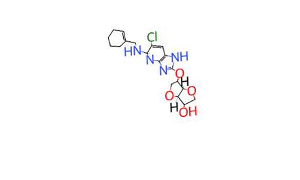 O[C@@H]1CO[C@H]2[C@@H]1OC[C@H]2Oc1nc2nc(NCC3=CCCCC3)c(Cl)cc2[nH]1